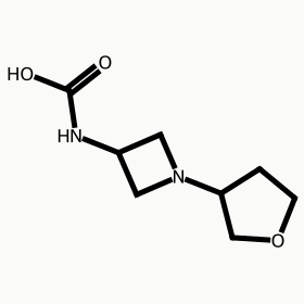 O=C(O)NC1CN(C2CCOC2)C1